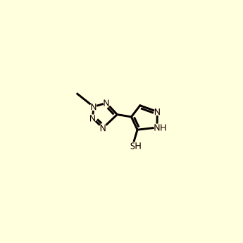 Cn1nnc(-c2cn[nH]c2S)n1